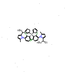 CCCCC(CC)c1ccc(C)n1-c1ccc(F)[c]([Ti]([C]2=CC=CC2)([C]2=CC=CC2)[c]2c(F)ccc(-n3c(C)ccc3C(CC)CCCC)c2F)c1F